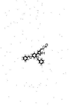 O=COCCc1cc(-c2ccc(OCc3ccccc3)cc2OCc2ccccc2)n[nH]1